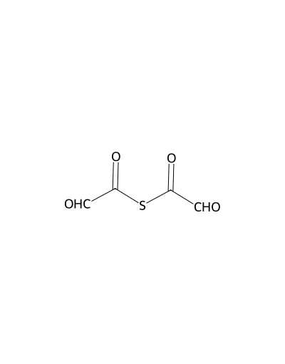 O=CC(=O)SC(=O)C=O